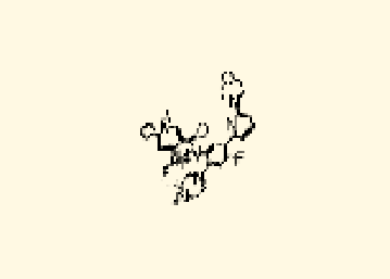 C[C@@H]1CN(c2cc(F)c(-c3cccc(N4CCOCC4)n3)cc2NC(=O)c2cn(C)c(=O)cc2C(F)F)CCN1C